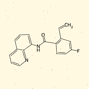 C=Cc1cc(F)ccc1C(=O)Nc1cccc2cccnc12